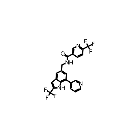 O=C(NCc1cc(-c2cccnc2)c2[nH]c(C(F)(F)F)cc2c1)c1ccc(C(F)(F)F)nc1